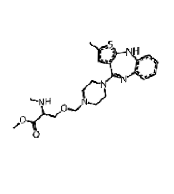 CNC(COCN1CCN(C2=Nc3ccccc3Nc3sc(C)cc32)CC1)C(=O)OC